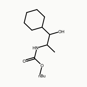 CCCCOC(=O)NC(C)C(O)C1CCCCC1